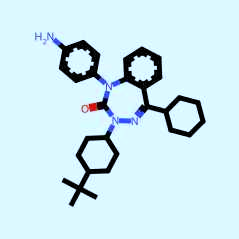 CC(C)(C)C1CCC(N2N=C(C3CCCCC3)c3ccccc3N(c3ccc(N)cc3)C2=O)CC1